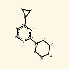 c1cc(C2CC2)nc(N2CCCCC2)n1